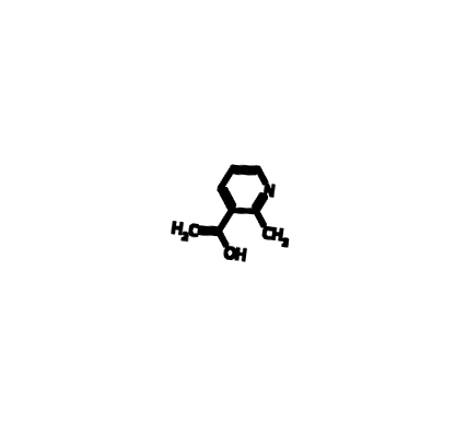 C=C(O)c1cccnc1C